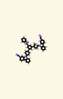 N#Cc1ccc2c3ccccc3n(-c3ccc(-c4cc(-c5ccc(-n6c7ccccc7c7ccc(C#N)cc76)cc5)cc(-c5nc6ccccc6s5)c4)cc3)c2c1